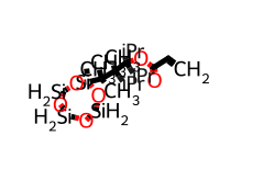 C=CC(=O)OC(C(C)C)(C(C)C)C(C)(C(C)C)C(C)(C)[Si]1(C)O[SiH2]O[SiH2]O[SiH2]O1